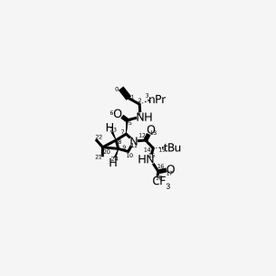 C#C[C@H](CCC)NC(=O)[C@@H]1[C@@H]2[C@H](CN1C(=O)[C@@H](NC(=O)C(F)(F)F)C(C)(C)C)C2(C)C